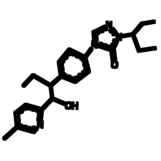 CCC(c1ccc(-n2cnn(C(CC)CC)c2=O)cc1)C(O)c1ccc(C)cn1